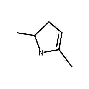 CC1=CCC(C)[N]1